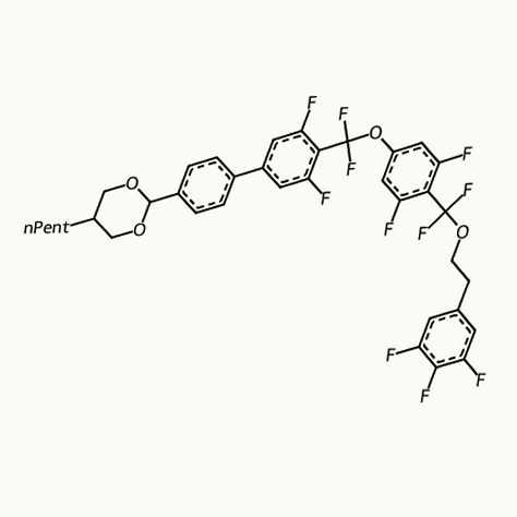 CCCCCC1COC(c2ccc(-c3cc(F)c(C(F)(F)Oc4cc(F)c(C(F)(F)OCCc5cc(F)c(F)c(F)c5)c(F)c4)c(F)c3)cc2)OC1